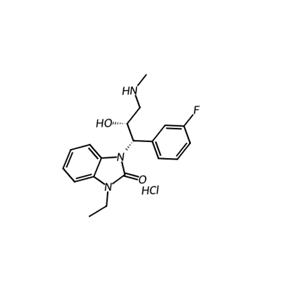 CCn1c(=O)n([C@@H](c2cccc(F)c2)[C@H](O)CNC)c2ccccc21.Cl